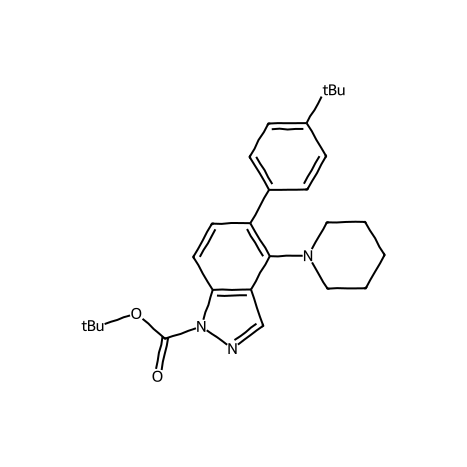 CC(C)(C)OC(=O)n1ncc2c(N3CCCCC3)c(-c3ccc(C(C)(C)C)cc3)ccc21